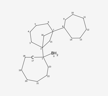 BC1(C23CCCCC(C4CCCCCC4)(C2)C3)CCCCCCC1